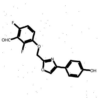 O=Cc1c(F)ccc(OCc2nc(-c3ccc(O)cc3)co2)c1F